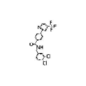 O=C(NCc1ccc(Cl)c(Cl)c1)c1ccc(-c2cc(C(F)(F)F)ccn2)cc1